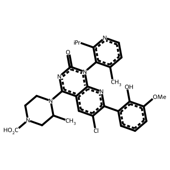 COc1cccc(-c2nc3c(cc2Cl)c(N2CCN(C(=O)O)CC2C)nc(=O)n3-c2c(C)ccnc2C(C)C)c1O